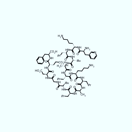 CC[C@H](C)[C@H](NC(=O)[C@H](CC(C)C)NC(=O)[C@H](C)NC(=O)[C@H](CC(C)C)NC(=O)[C@H](CCCCN)NC(=O)[C@H](CC(C)C)NC(=O)[C@H](C)NC(=O)[C@@H](NC(=O)[C@H](CC(C)C)NC(=O)[C@H](CCCCN)NC(=O)[C@@H](N)Cc1cccnc1)[C@@H](C)CC)C(=O)NCC(=O)N[C@@H](CC(=O)O)C(=O)N[C@@H](CCC(=O)O)C(=O)N[C@@H](Cc1ccccc1)C(=O)O